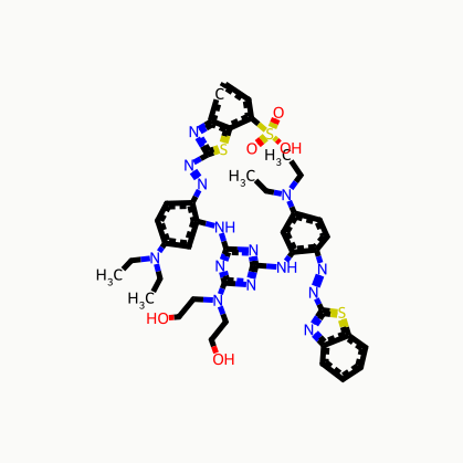 CCN(CC)c1ccc(/N=N/c2nc3ccccc3s2)c(Nc2nc(Nc3cc(N(CC)CC)ccc3/N=N/c3nc4cccc(S(=O)(=O)O)c4s3)nc(N(CCO)CCO)n2)c1